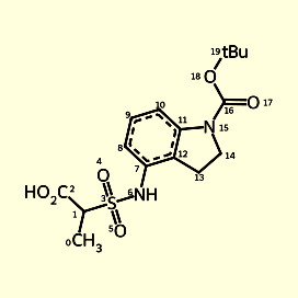 CC(C(=O)O)S(=O)(=O)Nc1cccc2c1CCN2C(=O)OC(C)(C)C